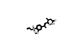 C=CCS(=O)(=O)c1ccc(C(C)=CC2=NNC(=O)CC2C)cc1OC